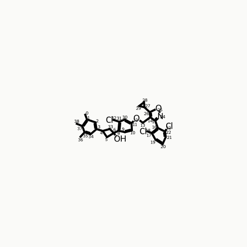 Cc1cc(C2CC(O)(c3ccc(OCc4c(-c5c(Cl)cccc5Cl)noc4C4CC4)cc3Cl)C2)cc(C)c1C